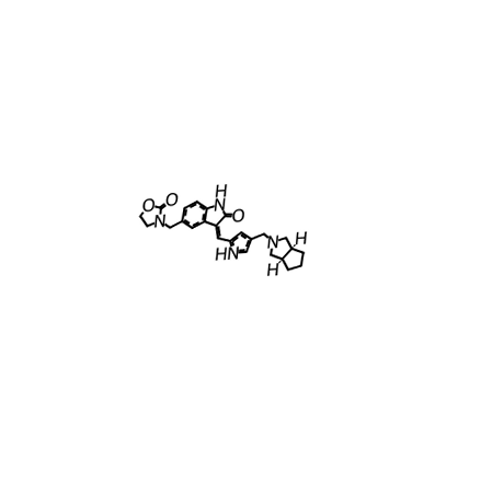 O=C1Nc2ccc(CN3CCOC3=O)cc2C1=Cc1cc(CN2C[C@H]3CCC[C@H]3C2)c[nH]1